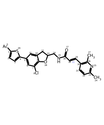 CC(=O)c1ccc(-c2cc(Cl)c3c(c2)CC(CNC(=O)/C=C/c2ccc(C)nc2C)O3)s1